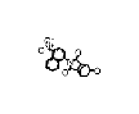 O=C1CC2=C3C(=O)N(c4ccc([N+](=O)[O-])c5ccccc45)C(=O)C3C1CC2